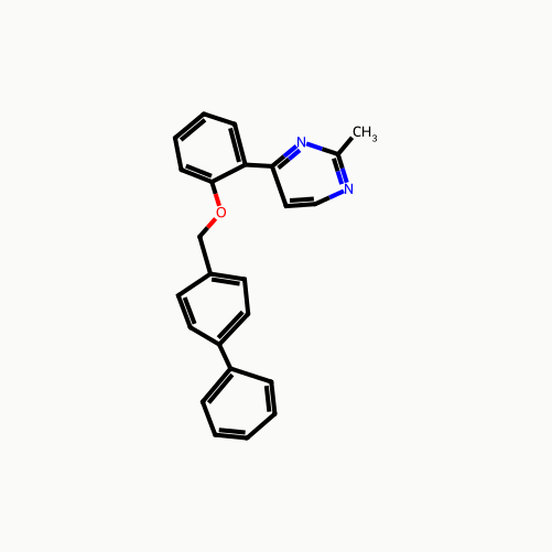 Cc1nccc(-c2ccccc2OCc2ccc(-c3ccccc3)cc2)n1